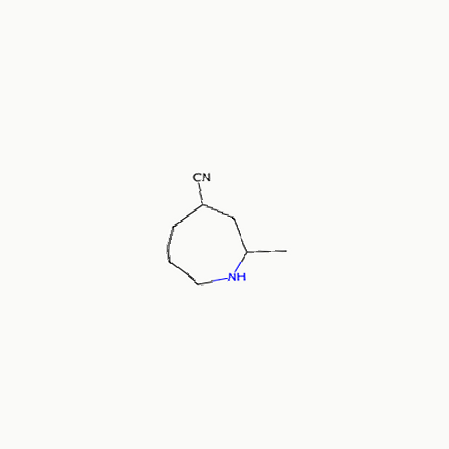 CC1CC(C#N)CCCN1